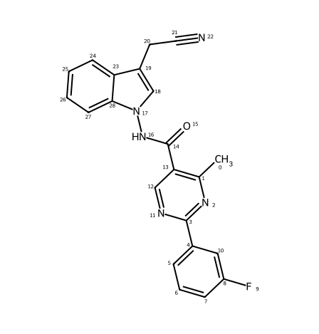 Cc1nc(-c2cccc(F)c2)ncc1C(=O)Nn1cc(CC#N)c2ccccc21